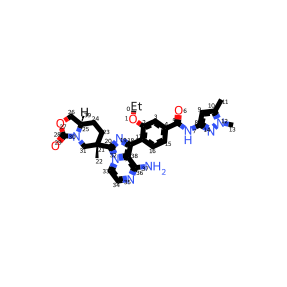 CCOc1cc(C(=O)Nc2cc(C)n(C)n2)ccc1-c1nc([C@@]2(C)CC[C@@H]3COC(=O)N3C2)n2ccnc(N)c12